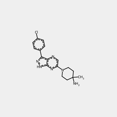 CC1(N)CCN(c2cnc3c(-c4ccc(Cl)cc4)n[nH]c3n2)CC1